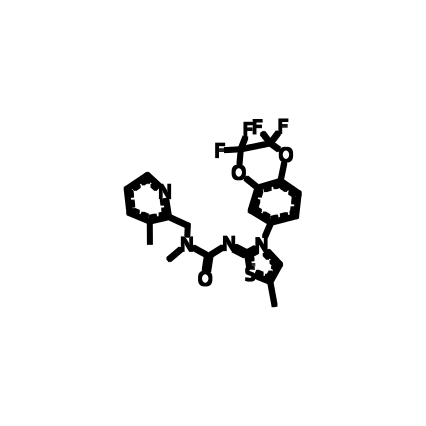 Cc1cn(-c2ccc3c(c2)OC(F)(F)C(F)(F)O3)c(=NC(=O)N(C)Cc2ncccc2C)s1